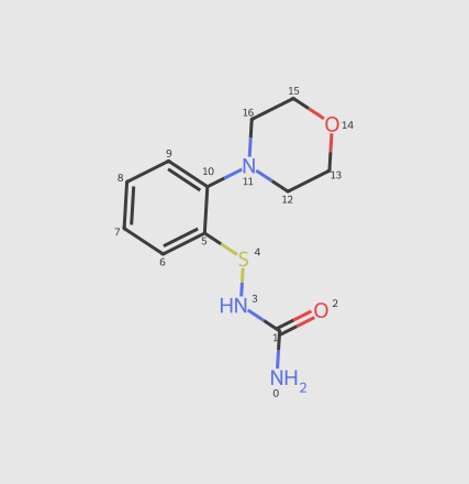 NC(=O)NSc1ccccc1N1CCOCC1